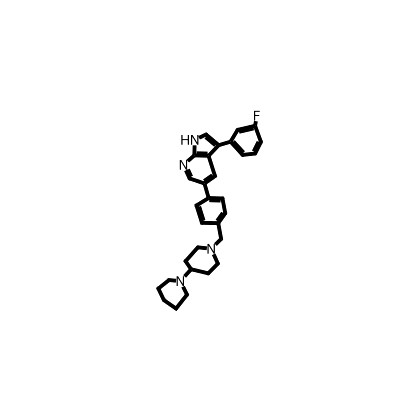 Fc1cccc(-c2c[nH]c3ncc(-c4ccc(CN5CCC(N6CCCCC6)CC5)cc4)cc23)c1